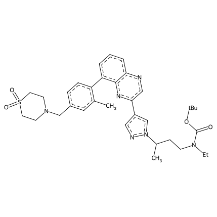 CCN(CCC(C)n1cc(-c2cnc3cccc(-c4ccc(CN5CCS(=O)(=O)CC5)cc4C)c3n2)cn1)C(=O)OC(C)(C)C